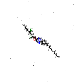 CCCCCCCCCCCc1ccc(-c2ncc(OCC(F)CCC(F)CCCCC)cn2)cc1